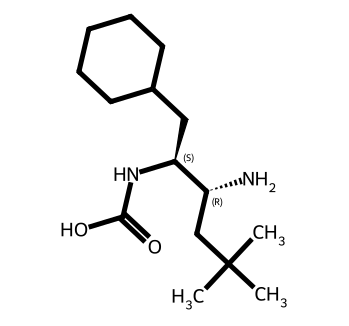 CC(C)(C)C[C@@H](N)[C@H](CC1CCCCC1)NC(=O)O